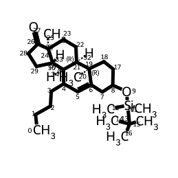 CCCCC1C=C2CC(O[Si](C)(C)C(C)(C)C)CC[C@]2(C)[C@@H]2CC[C@]3(C)C(=O)CC[C@H]3[C@H]12